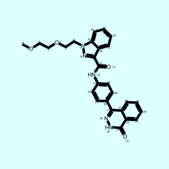 COCCOCCn1nc(C(=O)Nc2ccc(-c3n[nH]c(=O)c4ccccc34)cc2)c2ccccc21